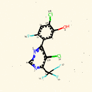 Oc1cc(-c2ncnc(C(F)(F)F)c2Cl)c(F)cc1Cl